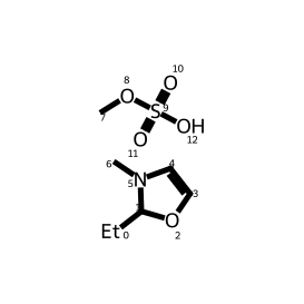 CCC1OC=CN1C.COS(=O)(=O)O